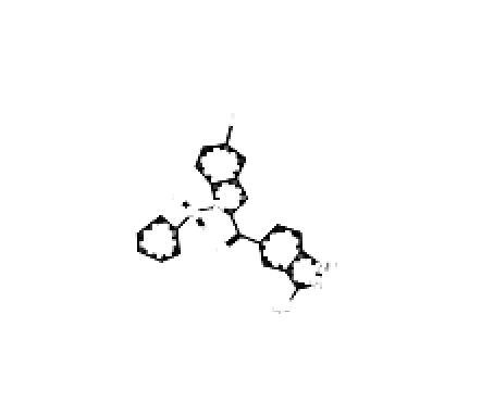 Cc1n[nH]c2ccc(C(=O)c3cc4cc(F)ccc4n3S(=O)(=O)c3ccccc3)cc12